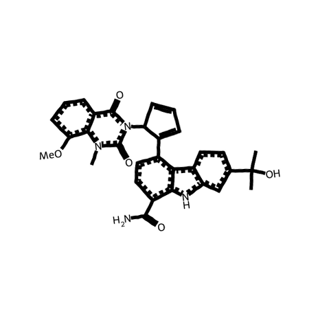 COc1cccc2c(=O)n(C3C=CC=C3c3ccc(C(N)=O)c4[nH]c5cc(C(C)(C)O)ccc5c34)c(=O)n(C)c12